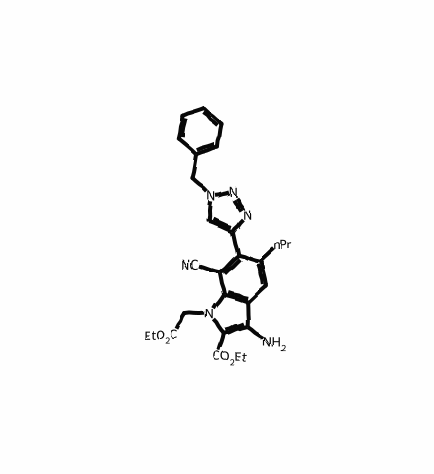 CCCc1cc2c(N)c(C(=O)OCC)n(CC(=O)OCC)c2c(C#N)c1-c1cn(Cc2ccccc2)nn1